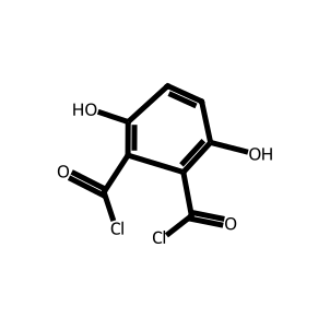 O=C(Cl)c1c(O)ccc(O)c1C(=O)Cl